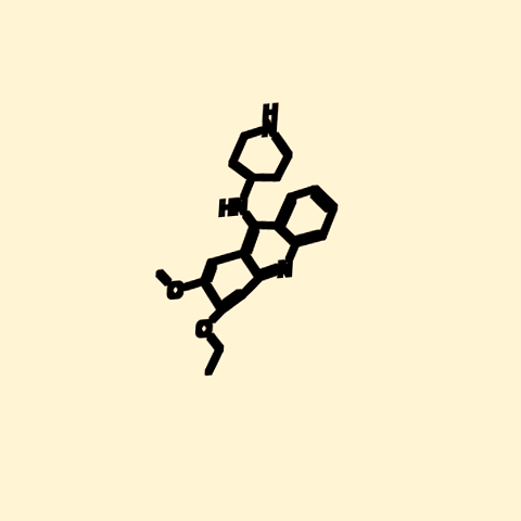 CCOc1cc2nc3ccccc3c(NC3CCNCC3)c2cc1OC